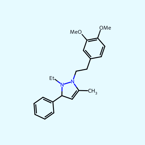 CCN1C(c2ccccc2)C=C(C)N1CCc1ccc(OC)c(OC)c1